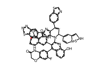 O=C1COc2cc(F)c(-c3c(-c4cc5cccc(O)c5c(=O)[nH]4)c(N4c5sc(-c6ccc7snnc7c6)nc5C(c5ccc6scnc6c5)=[C]C4C4=CC5=CNSN5C=C4)nc4c(O)cccc34)cc2N1